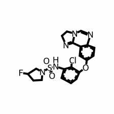 O=S(=O)(Nc1cccc(Oc2ccc3c(c2)C2=NCCN2C=N3)c1Cl)N1CCC(F)C1